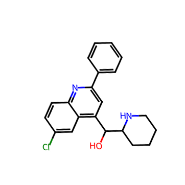 OC(c1cc(-c2ccccc2)nc2ccc(Cl)cc12)C1CCCCN1